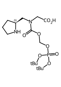 CC(C)(C)OP(=O)(OCOC(=O)N(CC(=O)O)C[C@@H]1CCCN1)OC(C)(C)C